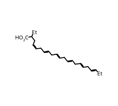 CCC=CCC=CCC=CCC=CCC=CC/C=C\CC(CC)C(=O)O